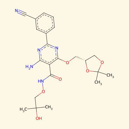 CC(C)(O)CONC(=O)c1c(N)nc(-c2cccc(C#N)c2)nc1OC[C@@H]1COC(C)(C)O1